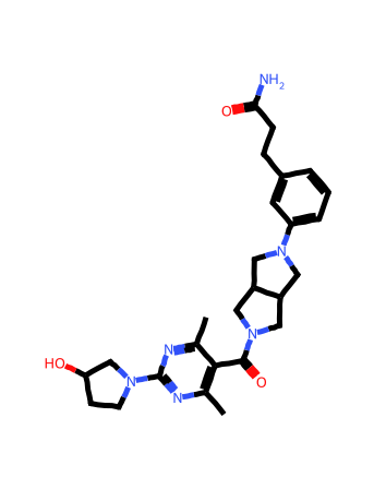 Cc1nc(N2CCC(O)C2)nc(C)c1C(=O)N1CC2CN(c3cccc(CCC(N)=O)c3)CC2C1